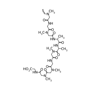 CC(NC(=O)CN(C)C(=O)CNC(=O)CN(C)C=S)C(=O)NC(C)C(=O)N(C)CC(=O)NCC(=O)N(C)CC(=O)N(C)CC(=O)NCC(=O)O